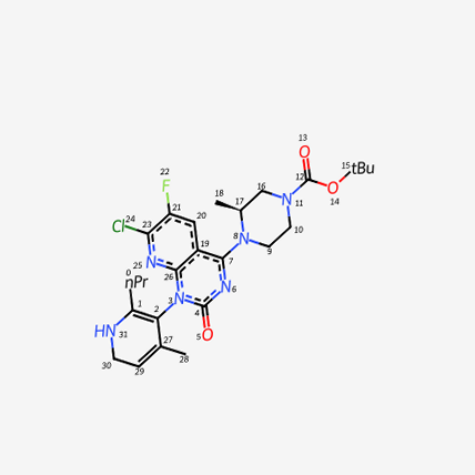 CCCC1=C(n2c(=O)nc(N3CCN(C(=O)OC(C)(C)C)C[C@@H]3C)c3cc(F)c(Cl)nc32)C(C)=CCN1